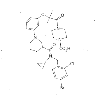 CC(C)(Oc1cccc(N2CCCC(C(=O)N(Cc3ccc(Br)cc3Cl)C3CC3)C2)c1)C(=O)N1CCN(C(=O)O)CC1